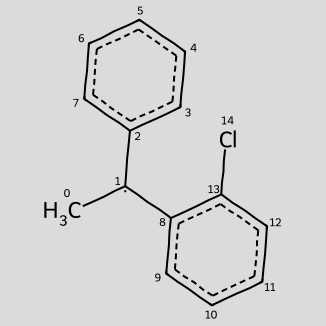 C[C](c1ccccc1)c1ccccc1Cl